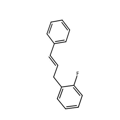 Fc1ccccc1CC=Cc1ccccc1